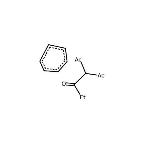 CCC(=O)C(C(C)=O)C(C)=O.c1ccccc1